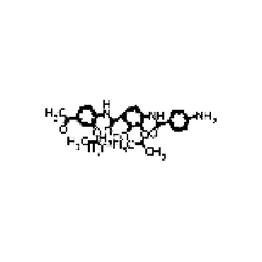 COc1c(C(=O)Nc2ccc(C(C)=O)cc2OC(C)C)ccc(NC(=O)c2ccc(N)cc2)c1OC(C)C